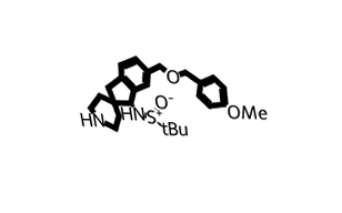 COc1ccc(COCc2ccc3c(c2)[C@@H](N[S@+]([O-])C(C)(C)C)C2(CCNCC2)C3)cc1